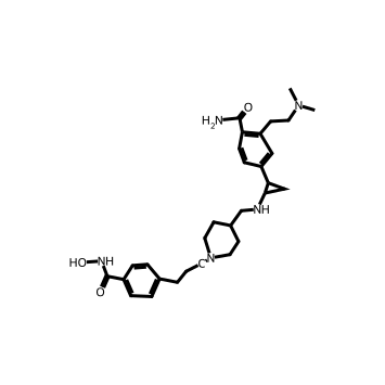 CN(C)CCc1cc(C2CC2NCC2CCN(CCCc3ccc(C(=O)NO)cc3)CC2)ccc1C(N)=O